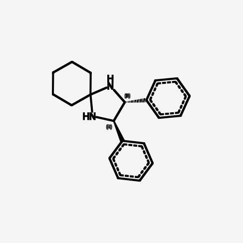 c1ccc([C@H]2NC3(CCCCC3)N[C@@H]2c2ccccc2)cc1